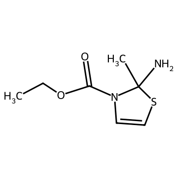 CCOC(=O)N1C=CSC1(C)N